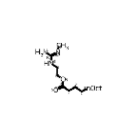 CCCCCCCCCCCC(=O)OCCNC(N)=NC